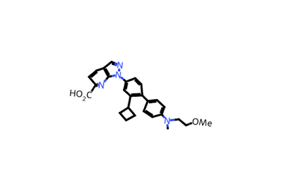 COCCN(C)c1ccc(-c2ccc(-n3ncc4ccc(C(=O)O)nc43)cc2C2CCC2)cc1